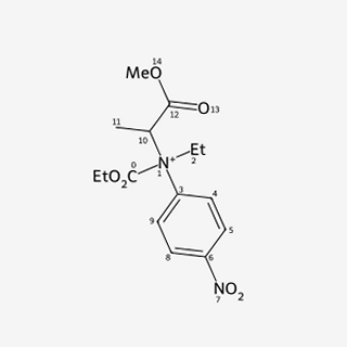 CCOC(=O)[N+](CC)(c1ccc([N+](=O)[O-])cc1)C(C)C(=O)OC